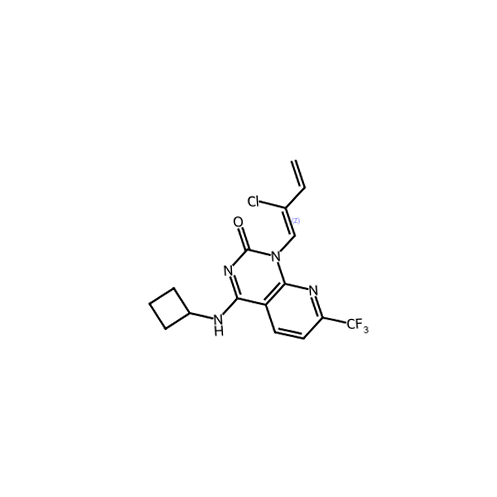 C=C/C(Cl)=C/n1c(=O)nc(NC2CCC2)c2ccc(C(F)(F)F)nc21